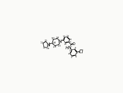 O=C(Nc1cccc(Cl)c1)c1cccc(N2CCC(N3CCCC3)CC2)c1